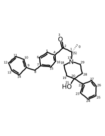 C[C@@H](C(=O)c1ccc(Cc2ccccc2)cc1)N1CCC(O)(c2ccccc2)CC1